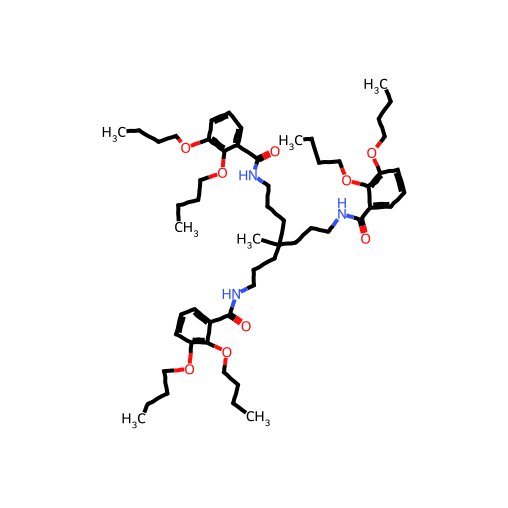 CCCCOc1cccc(C(=O)NCCCC(C)(CCCNC(=O)c2cccc(OCCCC)c2OCCCC)CCCNC(=O)c2cccc(OCCCC)c2OCCCC)c1OCCCC